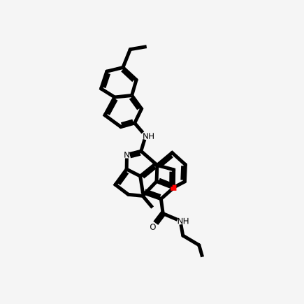 CCCNC(=O)c1cccc(C2=C\CC(C)c3ccccc3/C(Nc3ccc4ccc(CC)cc4c3)=N\2)c1